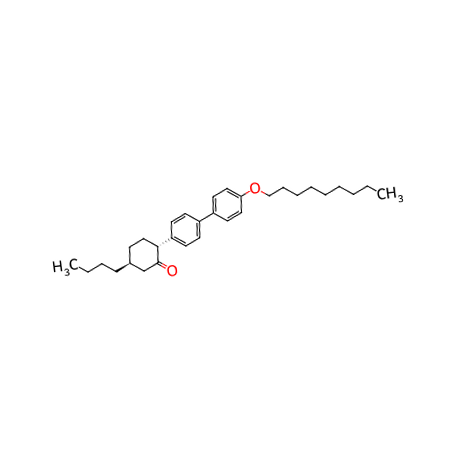 CCCCCCCCCOc1ccc(-c2ccc([C@H]3CC[C@H](CCCC)CC3=O)cc2)cc1